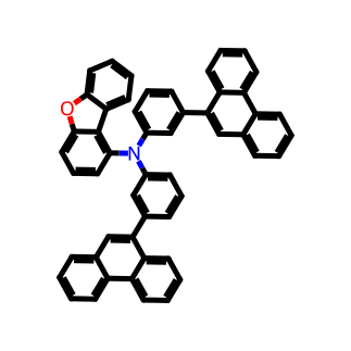 c1cc(-c2cc3ccccc3c3ccccc23)cc(N(c2cccc(-c3cc4ccccc4c4ccccc34)c2)c2cccc3oc4ccccc4c23)c1